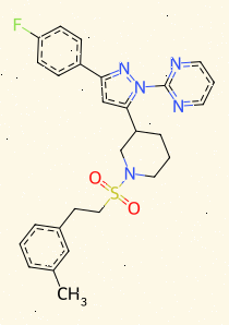 Cc1cccc(CCS(=O)(=O)N2CCCC(c3cc(-c4ccc(F)cc4)nn3-c3ncccn3)C2)c1